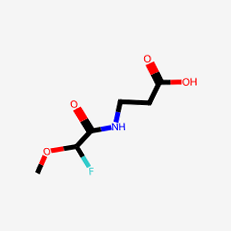 COC(F)C(=O)NCCC(=O)O